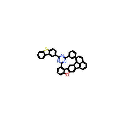 c1ccc(-c2nc(-c3ccc4sc5ccccc5c4c3)nc(-c3cccc4oc5cc6c(cc5c34)-c3cccc4cccc-6c34)n2)cc1